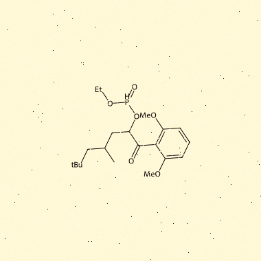 CCO[PH](=O)OC(CC(C)CC(C)(C)C)C(=O)c1c(OC)cccc1OC